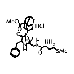 COC(=O)C12CC3CC(CC(NC(=O)[C@H](Cc4ccccc4)NC(=O)CNC(=O)[C@H](N)CCSC)(C3)C1)C2.Cl